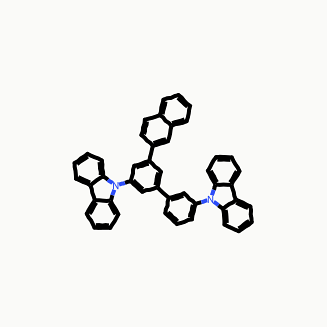 c1cc(-c2cc(-c3ccc4ccccc4c3)cc(-n3c4ccccc4c4ccccc43)c2)cc(-n2c3ccccc3c3ccccc32)c1